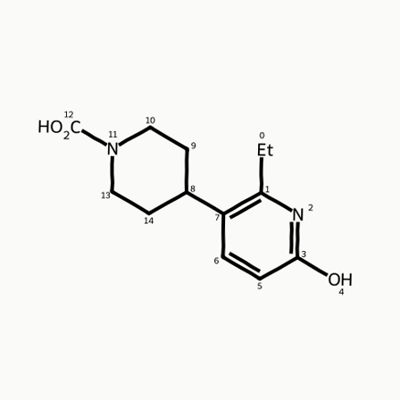 CCc1nc(O)ccc1C1CCN(C(=O)O)CC1